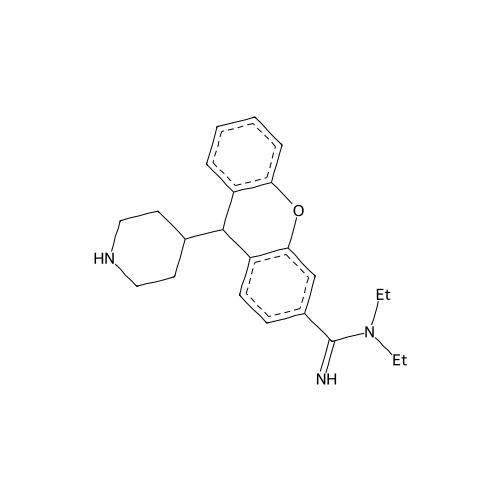 CCN(CC)C(=N)c1ccc2c(c1)Oc1ccccc1C2C1CCNCC1